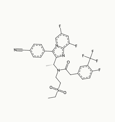 CCS(=O)(=O)CCN(C(=O)Cc1ccc(F)c(C(F)(F)F)c1)[C@H](C)c1nc2c(F)cc(F)cn2c1-c1ccc(C#N)cc1